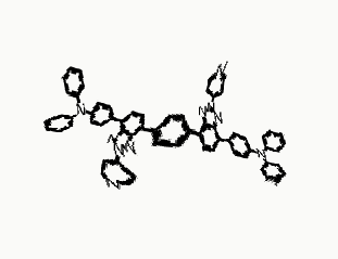 c1ccc(N(c2ccccc2)c2ccc(-c3ccc(-c4ccc(-c5ccc(-c6ccc(N(c7ccccc7)c7ccccc7)cc6)c6nn(-c7ccncc7)nc56)cc4)c4nn(-c5ccncc5)nc34)cc2)cc1